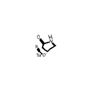 N#C[O-].O=C1CCCN1.[Na+]